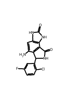 Nc1cc2[nH]c(=O)[nH]c2c2c1C(c1cc(F)ccc1Cl)NC2=O